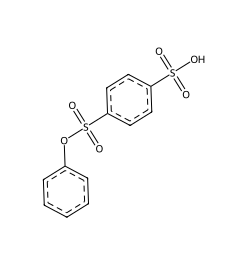 O=S(=O)(O)c1ccc(S(=O)(=O)Oc2ccccc2)cc1